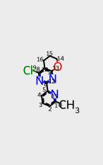 Cc1cccc(-c2nc(Cl)c3c(n2)OCCC3)n1